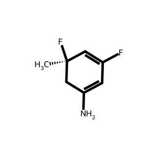 C[C@]1(F)C=C(F)C=C(N)C1